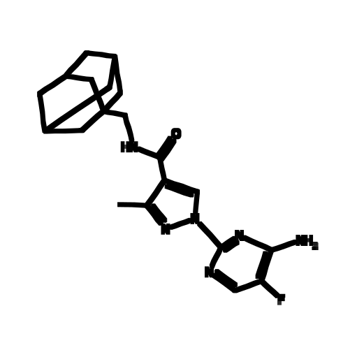 Cc1nn(-c2ncc(F)c(N)n2)cc1C(=O)NCC12CC3CC(CC(C3)C1)C2